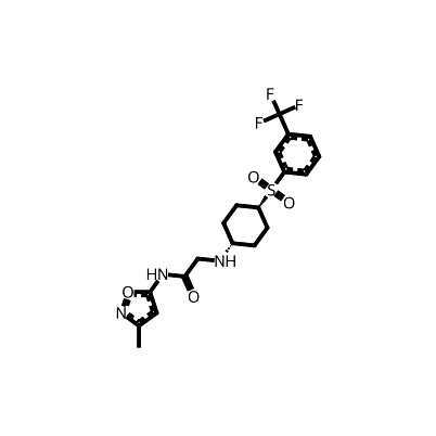 Cc1cc(NC(=O)CN[C@H]2CC[C@H](S(=O)(=O)c3cccc(C(F)(F)F)c3)CC2)on1